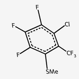 CSc1c(F)c(F)c(F)c(Cl)c1C(F)(F)F